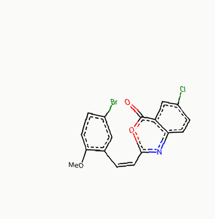 COc1ccc(Br)cc1/C=C\c1nc2ccc(Cl)cc2c(=O)o1